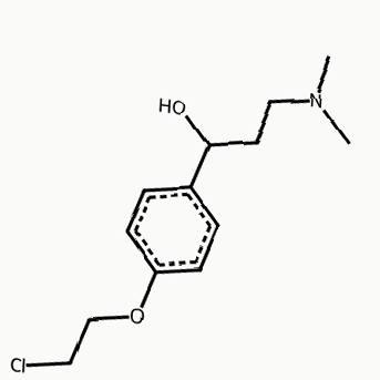 CN(C)CCC(O)c1ccc(OCCCl)cc1